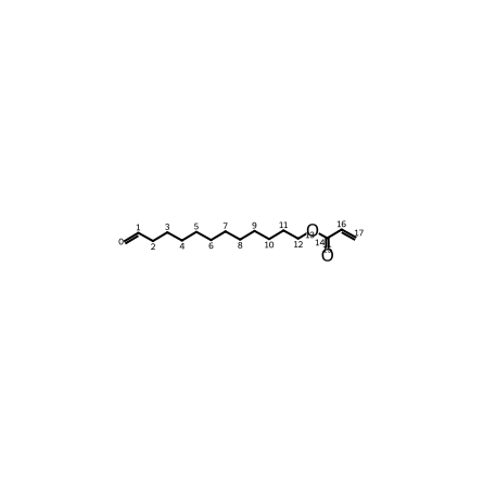 C=CCCCCCCCCCCCOC(=O)C=C